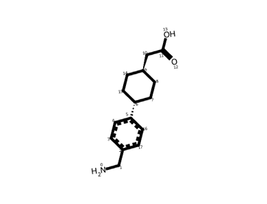 NCc1ccc([C@H]2CC[C@H](CC(=O)O)CC2)cc1